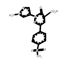 Cn1cc(-n2nc(-c3ccc(S(C)(=O)=O)cc3)cc(C(=O)O)c2=O)cn1